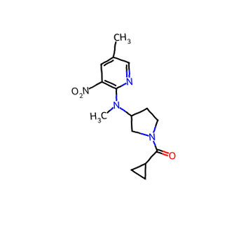 Cc1cnc(N(C)C2CCN(C(=O)C3CC3)C2)c([N+](=O)[O-])c1